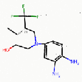 CC[C@@H](CN(CCO)c1ccc(N)c(N)c1)C(F)(F)F